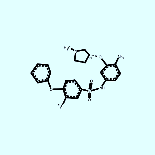 CN1CC[C@@H](Oc2cc(NS(=O)(=O)c3ccc(Oc4ccccc4)c(C(F)(F)F)c3)ccc2C(F)(F)F)C1